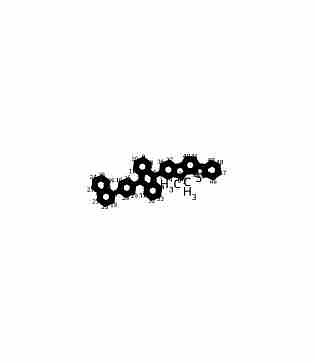 CC1(C)c2cc(-c3c4ccccc4c(-c4ccc(-c5cccc6ccccc56)cc4)c4ccccc34)ccc2-c2ccc3c(sc4ccccc43)c21